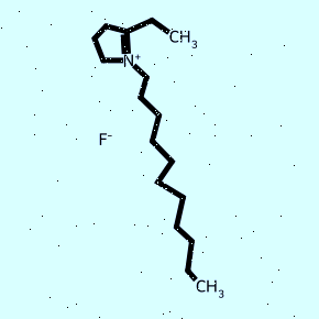 CCCCCCCCCCC[N+]1=C(CC)CCC1.[F-]